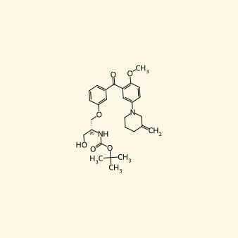 C=C1CCCN(c2ccc(OC)c(C(=O)c3cccc(OC[C@@H](CO)NC(=O)OC(C)(C)C)c3)c2)C1